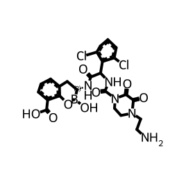 NCCN1CCN(C(=O)NC(C(=O)N[C@H]2Cc3cccc(C(=O)O)c3OB2O)c2c(Cl)cccc2Cl)C(=O)C1=O